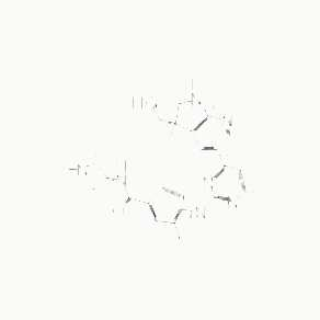 Cc1cc(C(=O)NC2CN(C)C2)ccc1Nc1nccc(-c2cnc3c(c2)C(C)(CO)CN3)n1